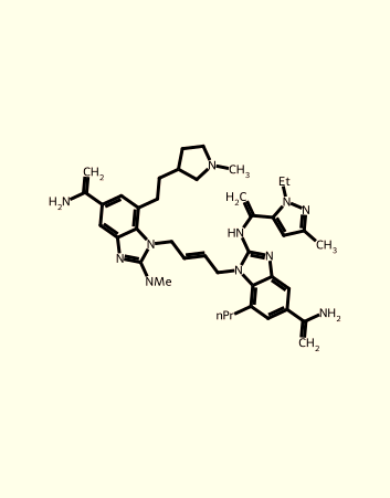 C=C(N)c1cc(CCC2CCN(C)C2)c2c(c1)nc(NC)n2C/C=C/Cn1c(NC(=C)c2cc(C)nn2CC)nc2cc(C(=C)N)cc(CCC)c21